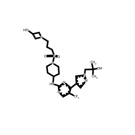 CC(C)(O)Cn1cc(-c2nc(NC3CCN(S(=O)(=O)CCCN4CC(O)C4)CC3)ncc2C(F)(F)F)cn1